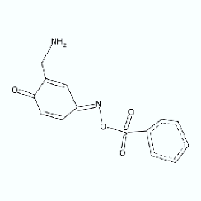 NCC1=CC(=NOS(=O)(=O)c2ccccc2)C=CC1=O